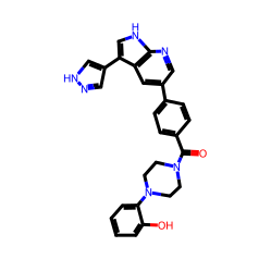 O=C(c1ccc(-c2cnc3[nH]cc(-c4cn[nH]c4)c3c2)cc1)N1CCN(c2ccccc2O)CC1